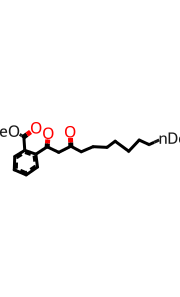 CCCCCCCCCCCCCCCCCC(=O)CC(=O)c1ccccc1C(=O)OC